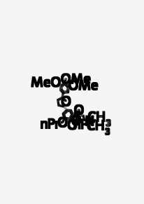 CCCOc1cc([C@@H]2CC[C@@H](c3cc(OC)c(OC)c(OC)c3)O2)cc(S(=O)(=O)CCN(C)C)c1OCCC